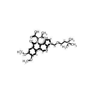 COc1cc2c(=O)n([C@@H](C(=O)O)C(C)C)c3c(cnc4c3ccn4COCC[Si](C)(C)C)c2cc1OC